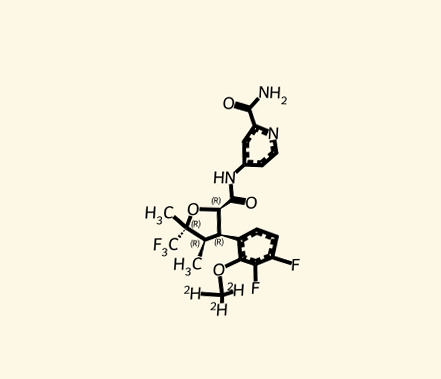 [2H]C([2H])([2H])Oc1c([C@H]2[C@@H](C)[C@](C)(C(F)(F)F)O[C@H]2C(=O)Nc2ccnc(C(N)=O)c2)ccc(F)c1F